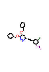 Fc1cc(P)cc(C#Cc2cc(OCc3ccccc3)c(OCc3ccccc3)nn2)c1